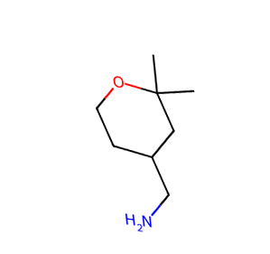 CC1(C)CC(CN)CCO1